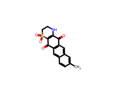 Cc1ccc2cc3c(cc2c1)C(=O)C1=C(C3=O)S(=O)(=O)CCN1